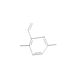 C=Cc1cc(F)ccc1CC